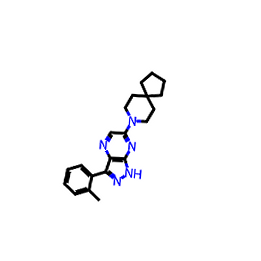 Cc1ccccc1-c1n[nH]c2nc(N3CCC4(CCCC4)CC3)cnc12